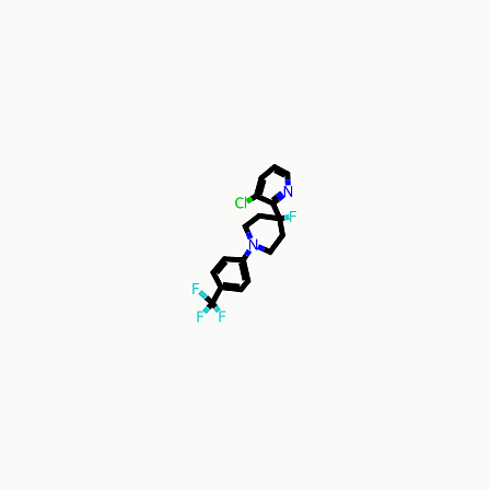 FC(F)(F)c1ccc(N2CCC(F)(c3ncccc3Cl)CC2)cc1